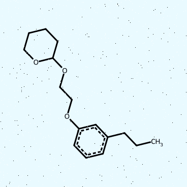 CCCc1cccc(OCCOC2CCCCO2)c1